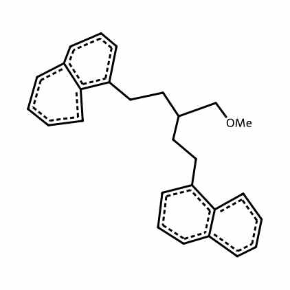 COCC(CCc1cccc2ccccc12)CCc1cccc2ccccc12